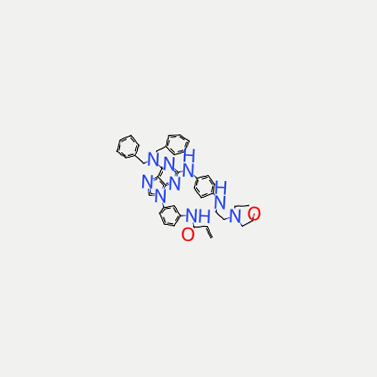 C=CC(=O)Nc1cccc(-n2cnc3c(N(Cc4ccccc4)Cc4ccccc4)nc(Nc4ccc(NCCN5CCOCC5)cc4)nc32)c1